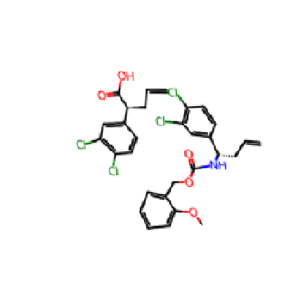 C=CC[C@H](C(=O)O)c1ccc(Cl)c(Cl)c1.C=CC[C@H](NC(=O)OCc1ccccc1OC)c1ccc(Cl)c(Cl)c1